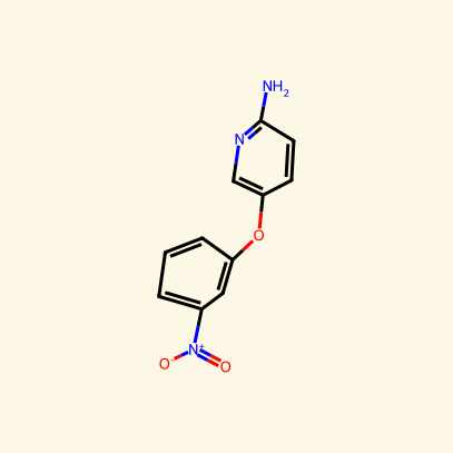 Nc1ccc(Oc2cccc([N+](=O)[O-])c2)cn1